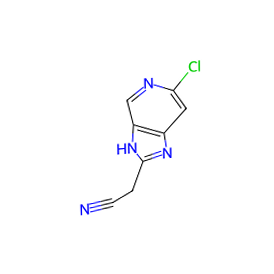 N#CCc1nc2cc(Cl)ncc2[nH]1